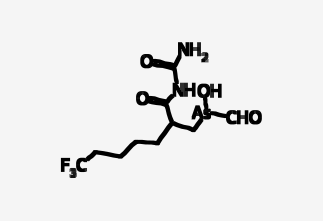 NC(=O)NC(=O)C(CCCCC(F)(F)F)C[As](O)C=O